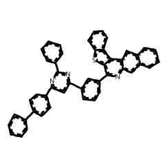 c1ccc(-c2ccc(-c3cc(-c4cccc(-c5nc6cc7ccccc7cc6c6c5sc5ccccc56)c4)nc(-c4ccccc4)n3)cc2)cc1